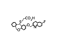 O=C(O)CCSC1c2ccccc2COc2ccc(OCc3ccc4cc(F)ccc4n3)cc21